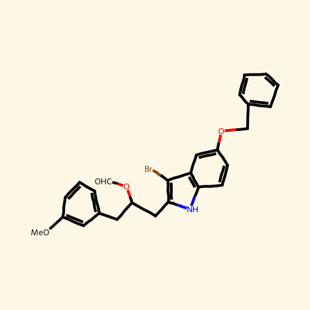 COc1cccc(CC(Cc2[nH]c3ccc(OCc4ccccc4)cc3c2Br)OC=O)c1